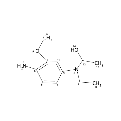 CCN(c1ccc(N)c(OC)c1)C(C)O